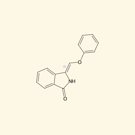 O=C1N/C(=C\Oc2ccccc2)c2ccccc21